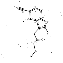 CCOC(=O)Cc1c(C)oc2ccc(C#N)cc12